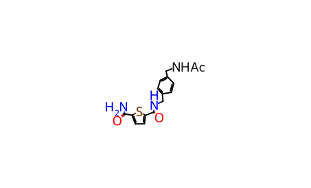 CC(=O)NCc1ccc(CNC(=O)c2ccc(C(N)=O)s2)cc1